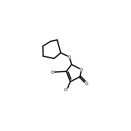 O=C1OC(OC2CCCCC2)C(Cl)=C1Cl